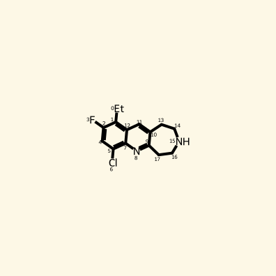 CCc1c(F)cc(Cl)c2nc3c(cc12)CCNCC3